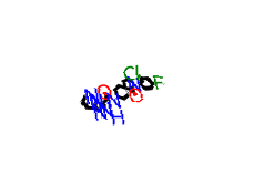 O=C(N[C@H]1CC[C@@]2(CCN(c3ccc(F)cc3Cl)C2=O)CC1)c1nnc2cccnn12